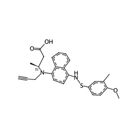 C#CCN(c1ccc(NSc2ccc(OC)c(C)c2)c2ccccc12)[C@@H](C)CC(=O)O